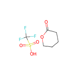 O=C1CCCCO1.O=S(=O)(O)C(F)(F)F